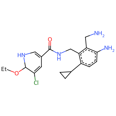 CCOC1NC=C(C(=O)NCc2c(C3CC3)ccc(N)c2CN)C=C1Cl